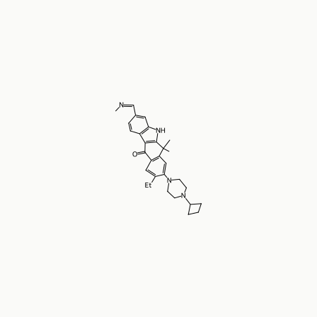 CCc1cc2c(cc1N1CCN(C3CCC3)CC1)C(C)(C)c1[nH]c3cc(/C=N\C)ccc3c1C2=O